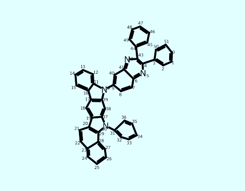 c1ccc(-c2nc3ccc(-n4c5ccccc5c5cc6c7ccc8ccccc8c7n(-c7ccccc7)c6cc54)cc3nc2-c2ccccc2)cc1